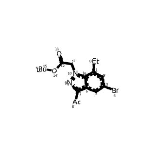 CCc1cc(Br)cc2c(C(C)=O)nn(CC(=O)OC(C)(C)C)c12